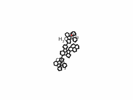 CC12CCCCC1(C)[Si](c1ccccc1)(c1ccccc1)c1ccc(-c3ccc4c(c3)C3(c5cc(-c6ccc7c(c6)C6(C)CCCCC6(C)[Si]7(c6ccccc6)c6ccccc6)ccc5-4)c4ccccc4-c4c3cc3ccc5cccc6ccc4c3c56)cc12